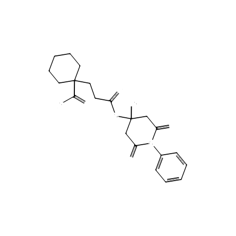 N#CC1(NC(=O)[CH]CC2(C(N)=O)CCCCC2)CC(=O)N(c2ccccc2)C(=O)C1